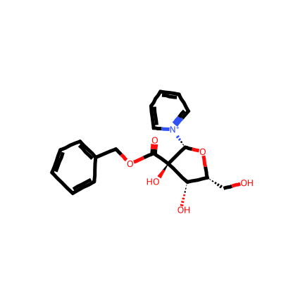 O=C(OCc1ccccc1)[C@@]1(O)[C@@H](O)[C@@H](CO)O[C@H]1[n+]1ccccc1